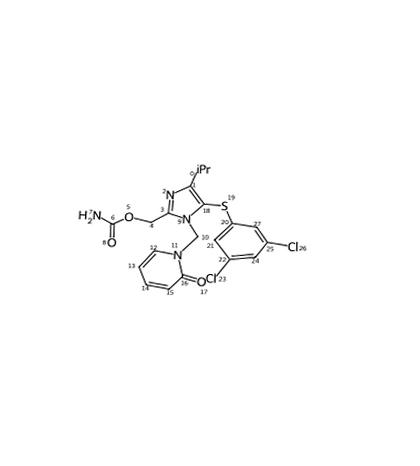 CC(C)c1nc(COC(N)=O)n(Cn2ccccc2=O)c1Sc1cc(Cl)cc(Cl)c1